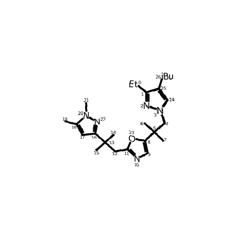 CCc1nn(CC(C)(C)c2cnc(CC(C)(C)c3cc(C)n(C)n3)o2)cc1C(C)CC